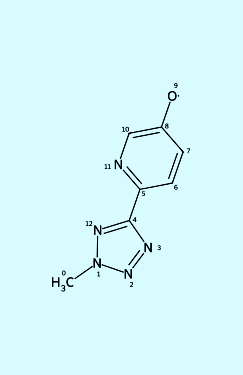 Cn1nnc(-c2ccc([O])cn2)n1